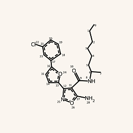 CCCCCCC(C)NC(=O)c1c(-c2ccc(-c3cccc(Cl)c3)o2)noc1N